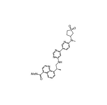 CNC(=O)c1ccnc2c([C@H](C)CNc3cc(-c4ccc(N(C)C5CCS(=O)(=O)C5)nc4)ncn3)cccc12